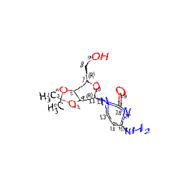 CC1(C)OC2C(O1)[C@@H](CO)O[C@H]2n1ccc(N)nc1=O